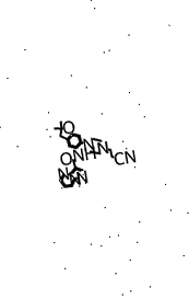 CC1(C)Cc2cc(NC(=O)c3cnn4cccnc34)c(N3CCN(CCC#N)CC3)cc2O1